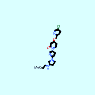 COCCNC1CCN(c2ccc(-n3ccc(OCc4ccc(Cl)cn4)cc3=O)cn2)C1